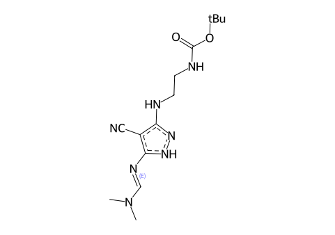 CN(C)/C=N/c1[nH]nc(NCCNC(=O)OC(C)(C)C)c1C#N